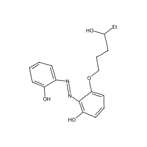 CCC(O)CCCOc1cccc(O)c1N=Nc1ccccc1O